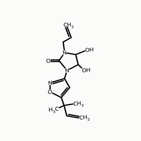 C=CCN1C(=O)N(c2cc(C(C)(C)C=C)on2)C(O)C1O